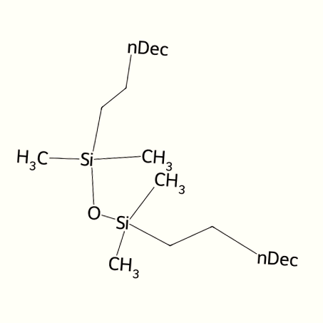 CCCCCCCCCCCC[Si](C)(C)O[Si](C)(C)CCCCCCCCCCCC